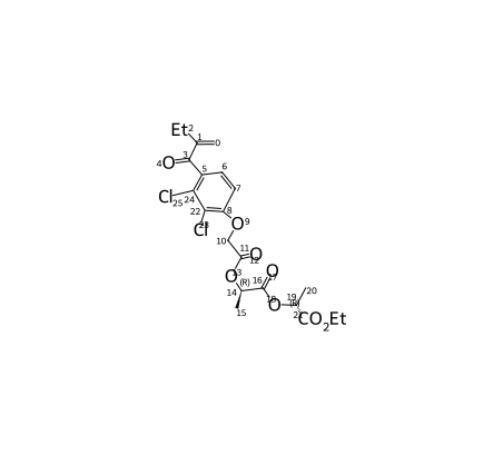 C=C(CC)C(=O)c1ccc(OCC(=O)O[C@H](C)C(=O)O[C@H](C)C(=O)OCC)c(Cl)c1Cl